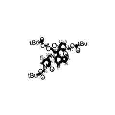 CC(C)(C)C(=O)OCOC(=O)c1c(-c2cccn(COC(=O)C(C)(C)C)c2=O)c2c3occc3c(F)cc2n1Cc1cc(=O)n(COC(=O)C(C)(C)C)cc1F